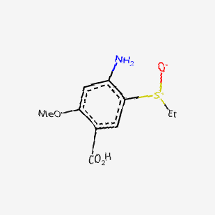 CC[S+]([O-])c1cc(C(=O)O)c(OC)cc1N